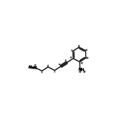 CNCCCC#Cc1ccccc1N